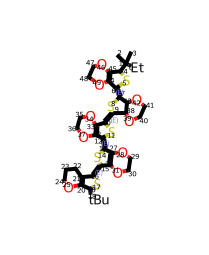 CCC(C)(C)C1S/C(=C2/S/C(=c3/s/c(=c4/s/c(=C5/SC(C(C)(C)C)C6=C5CCCO6)c5c4OCCO5)c4c3OCCO4)C3OCCOC23)C2=C1OCCO2